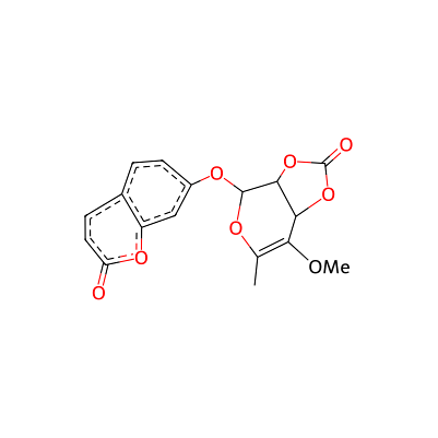 COC1=C(C)OC(Oc2ccc3ccc(=O)oc3c2)C2OC(=O)OC12